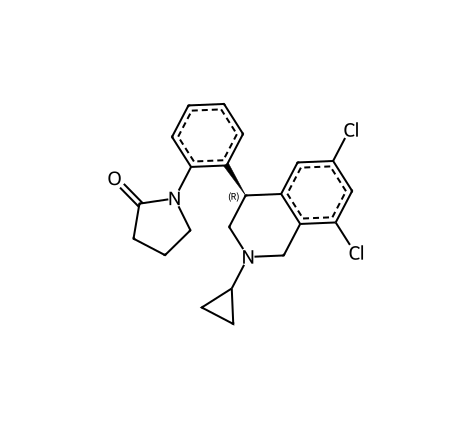 O=C1CCCN1c1ccccc1[C@@H]1CN(C2CC2)Cc2c(Cl)cc(Cl)cc21